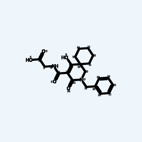 O=C(O)CNC(=O)C1=C(O)C2(CCCCC2)CN(Cc2ccccc2)C1=O